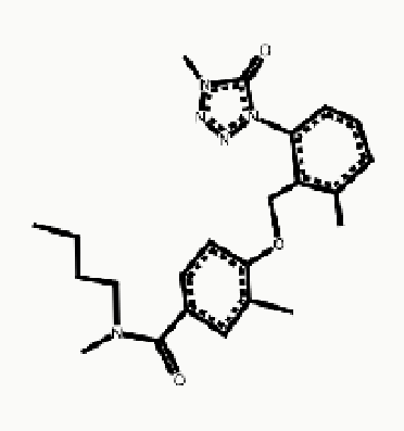 CCCCN(C)C(=O)c1ccc(OCc2c(C)cccc2-n2nnn(C)c2=O)c(C)c1